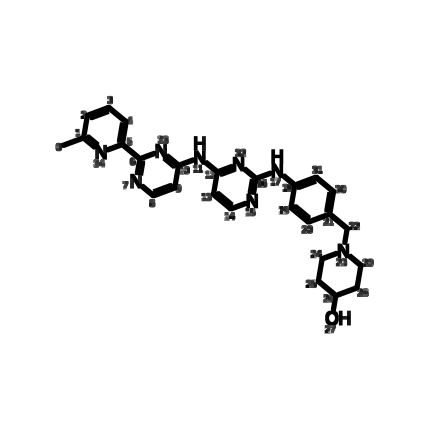 Cc1cccc(-c2nccc(Nc3ccnc(Nc4ccc(CN5CCC(O)CC5)cc4)n3)n2)n1